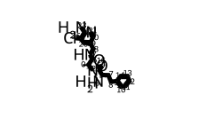 C[C@H](NC(=O)[C@H](N)CCc1ccccc1)C(=O)NCc1cnc(N)c(Cl)c1